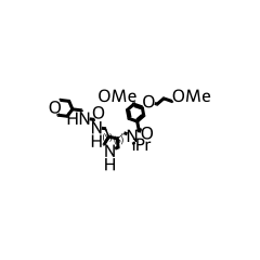 COCCCOc1cc(C(=O)N(C[C@@H]2CNC[C@H]2CNC(=O)NCC2CCOCC2)C(C)C)ccc1OC